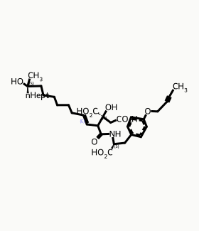 CC#CCOc1ccc(C[C@H](NC(=O)C(/C=C/CCCCCC[C@@](C)(O)CCCCCCC)[C@@](O)(CC(=O)O)C(=O)O)C(=O)O)cc1